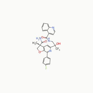 C[C@]1(C(N)=O)COc2c1cc(C(O)(CNC(=O)c1ccnc3ccccc13)C(F)(F)F)nc2-c1ccc(F)cc1